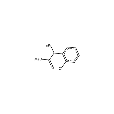 CCCC(C(=O)OC)c1ccccc1Cl